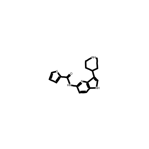 O=C(Nc1ccc2[nH]cc(C3CCNCC3)c2n1)c1cccs1